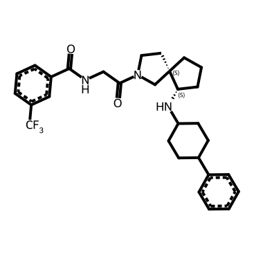 O=C(NCC(=O)N1CC[C@@]2(CCC[C@@H]2NC2CCC(c3ccccc3)CC2)C1)c1cccc(C(F)(F)F)c1